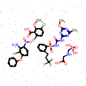 COc1c(Cl)ccc(Cl)c1C(=O)O.COc1nc(C)nc(NC(=O)NS(=O)(=O)c2ccccc2CCC(F)(F)F)n1.Nc1c([N+](=O)[O-])ccc(Oc2ccccc2)c1Cl.O=C(O)CNCP(=O)(O)O